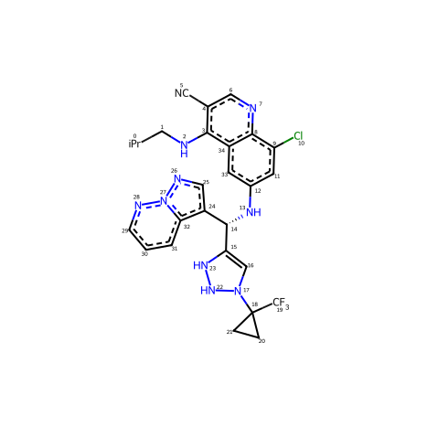 CC(C)CNc1c(C#N)cnc2c(Cl)cc(N[C@H](C3=CN(C4(C(F)(F)F)CC4)NN3)c3cnn4ncccc34)cc12